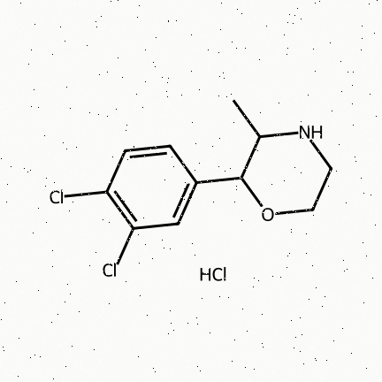 CC1NCCOC1c1ccc(Cl)c(Cl)c1.Cl